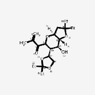 C=C(C)C(=O)C1O[C@H]2CC(CC)(CC)O[C@@H]2[C@@H](O)[C@H]1C1COC(CC)(CC)O1